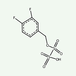 O=S(=O)(O)S(=O)(=O)OCc1ccc(F)c(F)c1